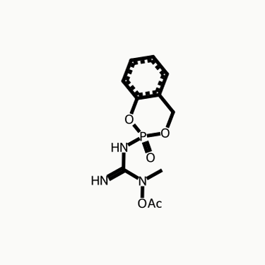 CC(=O)ON(C)C(=N)NP1(=O)OCc2ccccc2O1